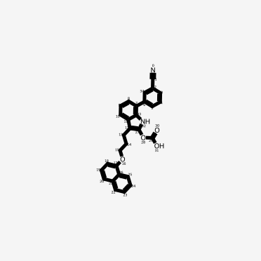 N#Cc1cccc(-c2cccc3c(CCCOc4cccc5ccccc45)c(OC(=O)O)[nH]c23)c1